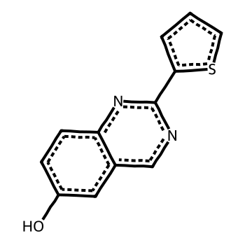 Oc1ccc2nc(-c3cccs3)ncc2c1